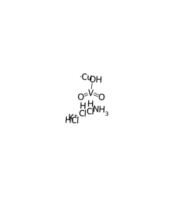 Cl.Cl.Cl.N.[Cu].[K+].[O]=[V](=[O])[OH]